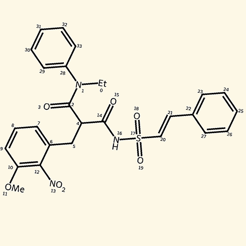 CCN(C(=O)C(Cc1cccc(OC)c1[N+](=O)[O-])C(=O)NS(=O)(=O)C=Cc1ccccc1)c1ccccc1